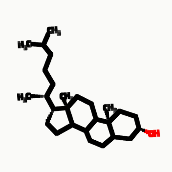 CC(C)CCC[C@@H](C)[C@H]1CCC2C3CCC4C[C@@H](O)CC[C@]4(C)C3CC[C@@]21C